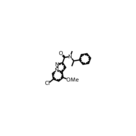 COc1cc(Cl)cn2nc(C(=O)N(C)C(C)c3ccccc3)cc12